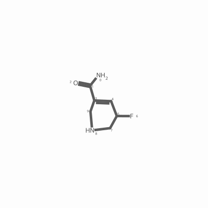 NC(=O)C1=CC(F)CNC1